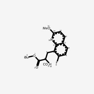 CCC(C)OC(=O)C(Cc1c(F)ccc2ccc(OC)nc12)C(=O)O